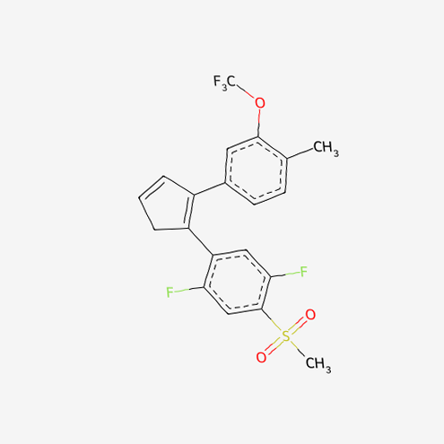 Cc1ccc(C2=C(c3cc(F)c(S(C)(=O)=O)cc3F)CC=C2)cc1OC(F)(F)F